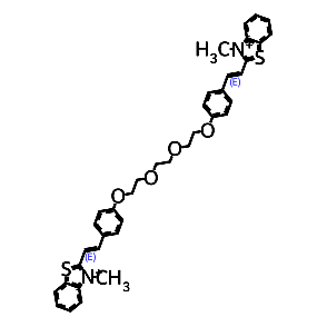 C[n+]1c(/C=C/c2ccc(OCCOCCOCCOc3ccc(/C=C/c4sc5ccccc5[n+]4C)cc3)cc2)sc2ccccc21